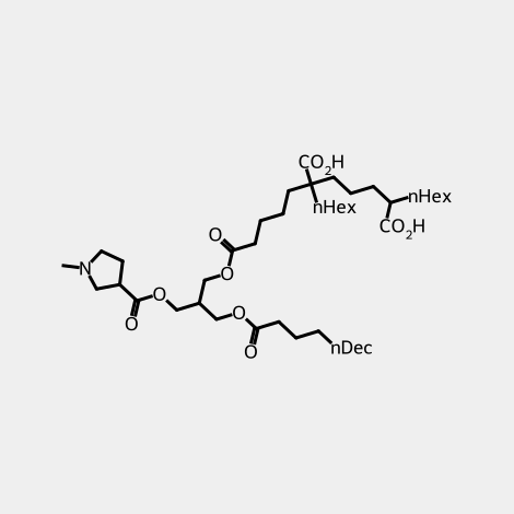 CCCCCCCCCCCCCC(=O)OCC(COC(=O)CCCCC(CCCCCC)(CCCC(CCCCCC)C(=O)O)C(=O)O)COC(=O)C1CCN(C)C1